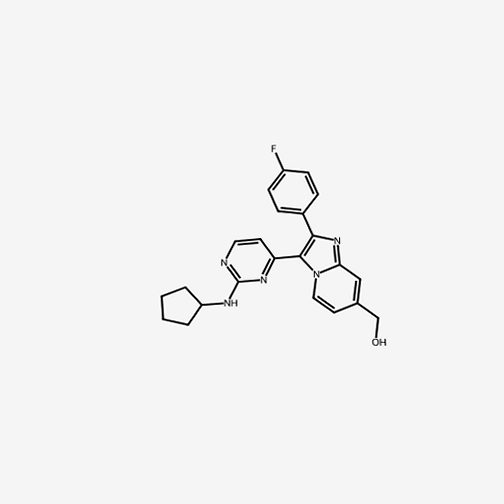 OCc1ccn2c(-c3ccnc(NC4CCCC4)n3)c(-c3ccc(F)cc3)nc2c1